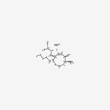 CCCCO[C@H]1COC[C@H](N)C(=O)O[C@@H](C)[C@@H]1OCC(F)F.Cl